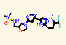 CN(C)[S+]([O-])NCC1CN(c2cc(-c3cnc(/C=C\C(=N)C(F)F)[nH]3)ncn2)CCO1